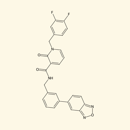 O=C(NCc1cccc(-c2ccc3nonc3c2)c1)c1cccn(Cc2ccc(F)c(F)c2)c1=O